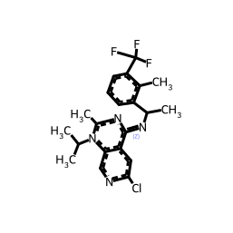 Cc1c(C(C)/N=c2\nc(C)n(C(C)C)c3cnc(Cl)cc23)cccc1C(F)(F)F